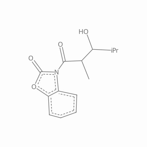 CC(C)C(O)C(C)C(=O)n1c(=O)oc2ccccc21